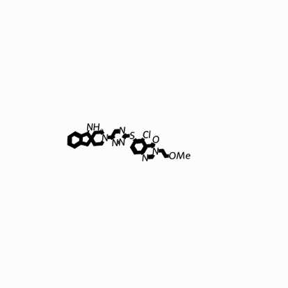 COCCn1cnc2ccc(Sc3ncc(N4CCC5(CC4)Cc4ccccc4[C@H]5N)nn3)c(Cl)c2c1=O